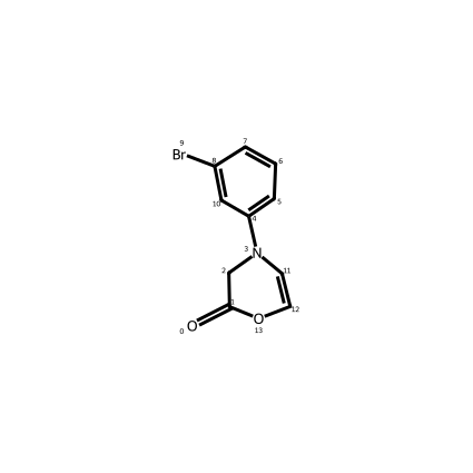 O=C1CN(c2cccc(Br)c2)C=CO1